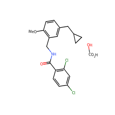 COc1ccc(CC2CC2)cc1CNC(=O)c1ccc(Cl)cc1Cl.O=C(O)O